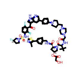 Cc1ncsc1-c1ccc(CNC(=O)[C@@H]2C[C@@H](OC(=O)CO)CN2C(=O)C(NC(=O)CN2CCN(CC3CCN(c4ccc(-c5cnc6[nH]cc(C(=O)c7c(F)ccc(NS(=O)(=O)N8CC[C@@H](F)C8)c7F)c6c5)cc4)CC3)CC2)C(C)(C)C)cc1